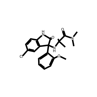 COc1ccccc1C1(NC(C)(C)C(=O)N(C)C)C(=O)Nc2ccc(Cl)cc21